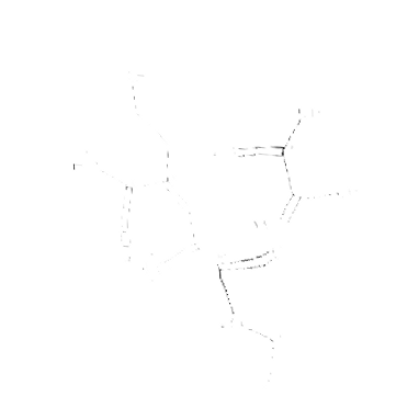 C=C(C)C(=O)O.C=C(C=C(CCC)C(=O)O)C(=O)OCC